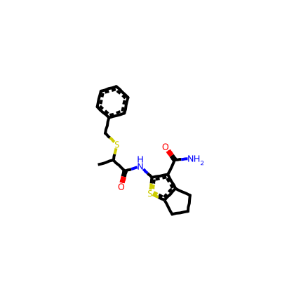 CC(SCc1ccccc1)C(=O)Nc1sc2c(c1C(N)=O)CCC2